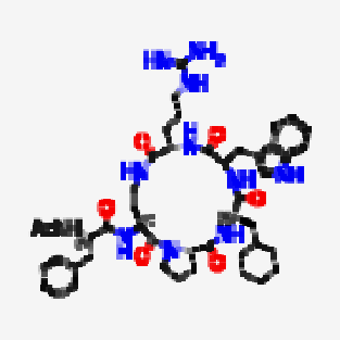 CC(=O)N[C@@H](Cc1ccccc1)C(=O)N[C@H]1CCNC(=O)C(CCCNC(=N)N)NC(=O)C(Cc2c[nH]c3ccccc23)NC(=O)[C@@H](CC2CCCCC2)NC(=O)C2CCCN2C1=O